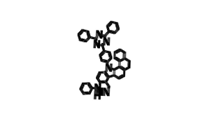 N=Cc1c(Nc2ccccc2)ccc2c1C1C=Cc3ccc4ccccc4c3C1N2c1ccc(-c2nc(-c3ccccc3)nc(-c3ccccc3)n2)cc1